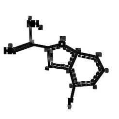 N=C(N)c1cc2c(F)cccc2o1